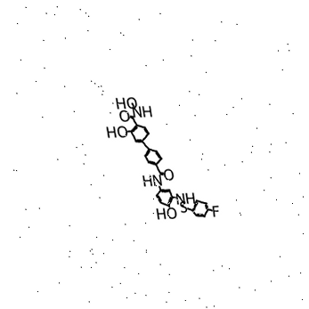 O=C(Nc1ccc(O)c(NSc2ccc(F)cc2)c1)c1ccc(-c2ccc(C(=O)NO)c(O)c2)cc1